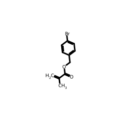 C=C(C)C(=O)OCc1ccc(Br)cc1